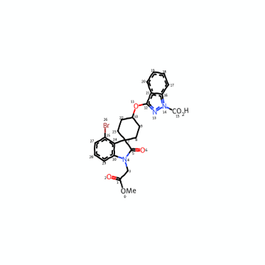 COC(=O)CN1C(=O)C2(CCC(Oc3nn(C(=O)O)c4ccccc34)CC2)c2c(Br)cccc21